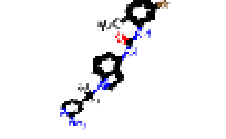 [2H]C([2H])(c1ccnc(N)c1)n1ccc2c(NC(=O)Nc3cc(Br)ccc3OC)cccc21